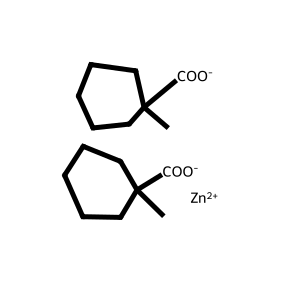 CC1(C(=O)[O-])CCCCC1.CC1(C(=O)[O-])CCCCC1.[Zn+2]